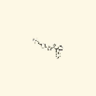 O=C(Nc1ccccc1N1CCOCC1)C1=CCC(C2CCN(CCC(F)(F)F)CC2)=N1